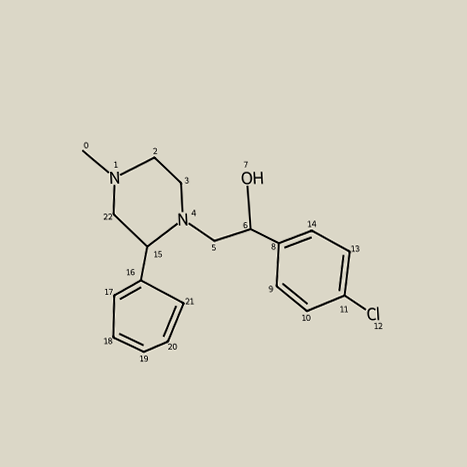 CN1CCN(CC(O)c2ccc(Cl)cc2)C(c2ccccc2)C1